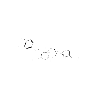 O=C(O)c1csc([C@H]2CC[C@@H]3[C@@H](COc4ccc(F)c(Cl)c4)[C@H](O)C[C@@H]3O2)n1